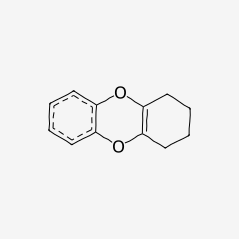 c1ccc2c(c1)OC1=C(CCCC1)O2